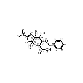 C[C@H](O)[C@H]1O[C@@H]2SC(N(C)C)=N[C@@H]2[C@@H](F)[C@@H]1OCc1ccccc1